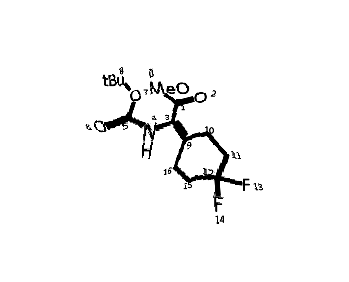 COC(=O)C(NC(=O)OC(C)(C)C)=C1CCC(F)(F)CC1